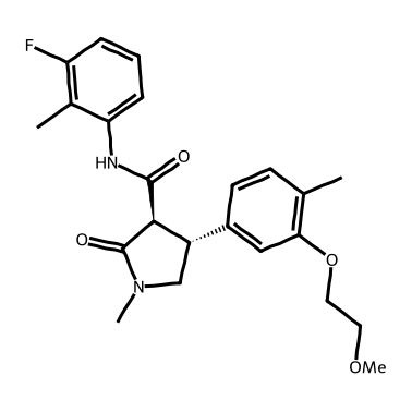 COCCOc1cc([C@@H]2CN(C)C(=O)[C@H]2C(=O)Nc2cccc(F)c2C)ccc1C